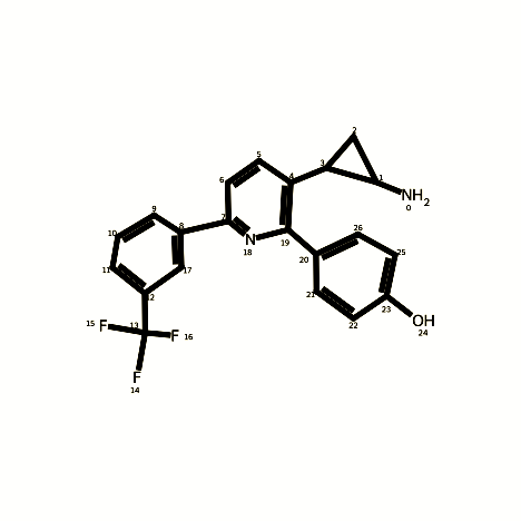 NC1CC1c1ccc(-c2cccc(C(F)(F)F)c2)nc1-c1ccc(O)cc1